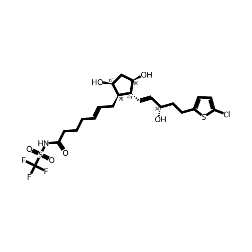 O=C(CCCC=CC[C@@H]1[C@@H](C=C[C@@H](O)CCc2ccc(Cl)s2)[C@H](O)C[C@@H]1O)NS(=O)(=O)C(F)(F)F